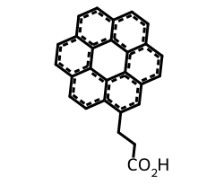 O=C(O)CCc1cc2ccc3ccc4ccc5ccc6ccc1c1c6c5c4c3c21